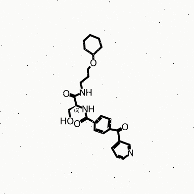 O=C(N[C@@H](CO)C(=O)NCCCOC1CCCCC1)c1ccc(C(=O)c2cccnc2)cc1